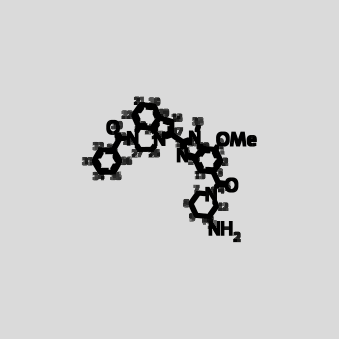 COc1cc(C(=O)N2CCC[C@@H](N)C2)cc2nc(-c3cc4cccc5c4n3CCN5C(=O)c3ccccc3)n(C)c12